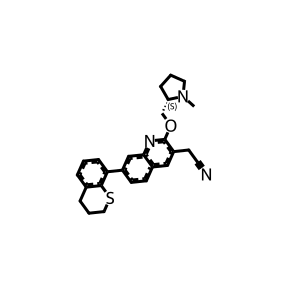 CN1CCC[C@H]1COc1nc2cc(-c3cccc4c3SCCC4)ccc2cc1CC#N